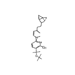 C=C(/C=C\N(C)c1ccc(C(C)(C)OC(C)(C)C)c(O)n1)CCC1C2CC23CC13